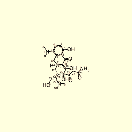 CN(C)c1ccc(O)c2c1C[C@H]1C[C@@H]([C@@H](CO)N(C)C)[C@@](O)(C(=O)CC(N)=O)C(O)=C1C2=O